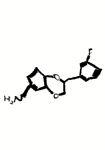 Nc1ccc2c(c1)OCC(c1cccc(F)c1)O2